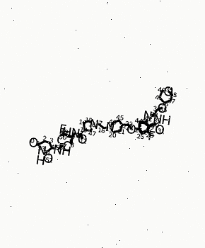 O=C1CCC(Nc2ccc(NC(=O)[C@H]3CCN(CCN4CCC(COc5cc(F)c6c(=O)[nH]c(COC7CCOCC7)nc6c5)CC4)C3)c(F)c2)C(=O)N1